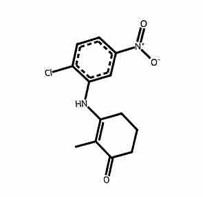 CC1=C(Nc2cc([N+](=O)[O-])ccc2Cl)CCCC1=O